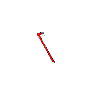 [N-]=[N+]=NCCOCCOCCOCCOCCOCCOCCOCCOCCOCCOCCOCCOCCOCCOCCOCCOCCOCCOCCOCCOCCOCCOCCOCCOCCC(=O)NCCCCn1nc(-c2ccc3oc(N)nc3c2)c2c(N)ncnc21